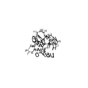 CC(C)(C)OC(=O)N[C@@H]1CCCC[C@@H]1C(=O)N1CC[C@H]2[C@@H](c3ncc[nH]3)Nc3ccccc3[C@H]21